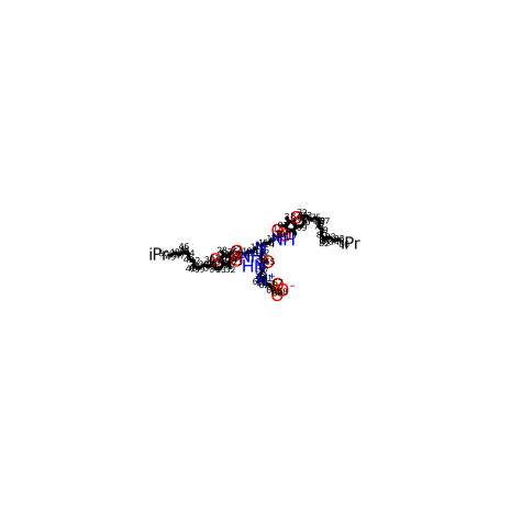 Cc1c(C)c2c(c(C)c1OC(=O)NCCCN(CCCNC(=O)Oc1c(C)c(C)c3c(c1C)CC[C@@](C)(CCC[C@H](C)CCC[C@H](C)CCCC(C)C)O3)CCC(=O)NCC[N+](C)(C)CCCS(=O)(=O)[O-])CC[C@@](C)(CCC[C@H](C)CCC[C@H](C)CCCC(C)C)O2